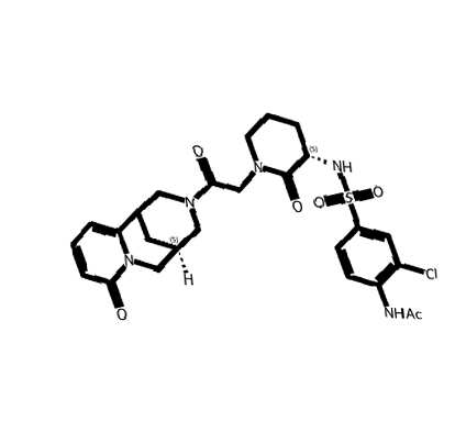 CC(=O)Nc1ccc(S(=O)(=O)N[C@H]2CCCN(CC(=O)N3CC4C[C@@H](C3)Cn3c4cccc3=O)C2=O)cc1Cl